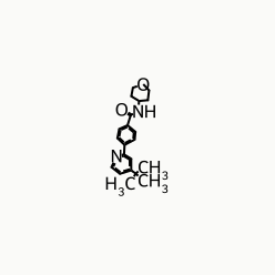 CC(C)(C)c1ccnc(-c2ccc(C(=O)NC3CCOCC3)cc2)c1